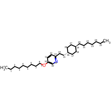 CCCCCCCCCOc1ccc(CC[C@H]2CC[C@H](CCCCCCC)CC2)nc1